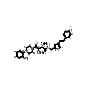 O=C(NCc1cc(/C=C/c2ccc(F)cc2)cs1)[C@H](O)[C@@H](O)C(=O)N1CCN(c2ccccc2Cl)CC1